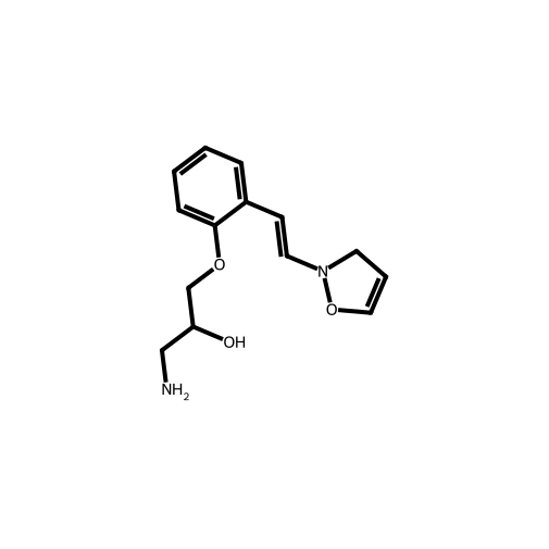 NCC(O)COc1ccccc1/C=C/N1CC=CO1